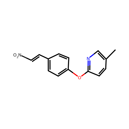 Cc1ccc(Oc2ccc(/C=C/[N+](=O)[O-])cc2)nc1